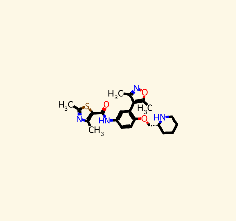 Cc1nc(C)c(C(=O)Nc2ccc(OC[C@H]3CCCCN3)c(-c3c(C)noc3C)c2)s1